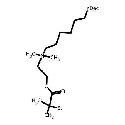 CCCCCCCCCCCCCCCC[N+](C)(C)CCOC(=O)C(C)(C)CC